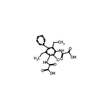 CCc1c(NC(=O)C(=O)O)c(Cl)c(NC(=O)C(=O)O)c(CC)c1-c1ccccc1